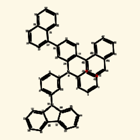 c1ccc(N(c2cccc(-n3c4ccccc4c4ccccc43)c2)c2cc(-c3cccc4ccccc34)ccc2-c2cccc3ccccc23)cc1